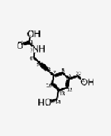 O=C(O)NCC#Cc1cc(CO)cc(CO)c1